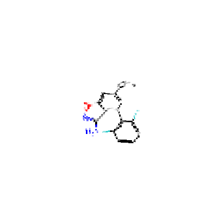 Cc1cc(-c2c(F)cccc2F)c2c(N)noc2c1